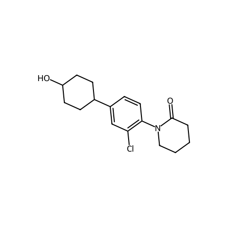 O=C1CCCCN1c1ccc(C2CCC(O)CC2)cc1Cl